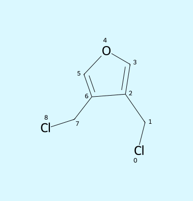 ClCc1cocc1CCl